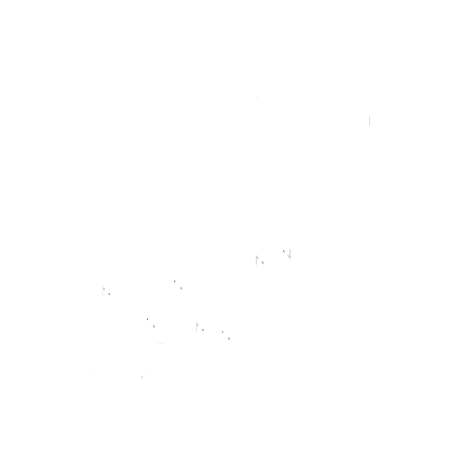 CCC1CC1(C(=O)O)c1ccc(-c2ccc(-c3cnn(C)c3Nc3cncc(C(C)C)n3)nc2)c(CC#N)c1